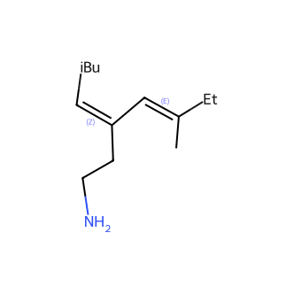 CC/C(C)=C/C(=C\C(C)CC)CCN